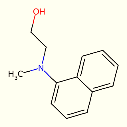 CN(CCO)c1cccc2ccccc12